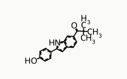 CC(C)(C)C(=O)c1ccc2cc(-c3ccc(O)cc3)[nH]c2c1